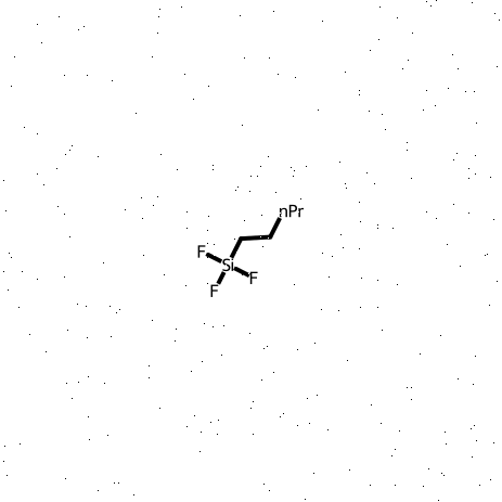 CCCCC[Si](F)(F)F